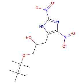 CC(C)(C)[Si](C)(C)OCC(O)Cc1[nH]c([N+](=O)[O-])nc1[N+](=O)[O-]